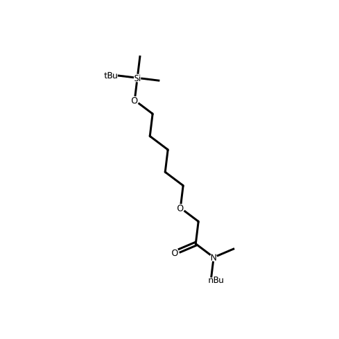 CCCCN(C)C(=O)COCCCCCO[Si](C)(C)C(C)(C)C